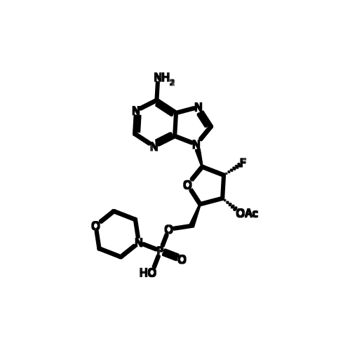 CC(=O)O[C@H]1[C@@H](F)[C@H](n2cnc3c(N)ncnc32)O[C@@H]1COP(=O)(O)N1CCOCC1